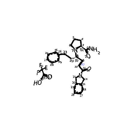 NC(=O)[C@@H]1CCCN1[C@H](/C=C/C(=O)N1Cc2ccccc2C1)CCc1ccccc1.O=C(O)C(F)(F)F